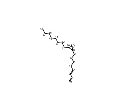 C=C/C=C/CCCCC1OC1CCCCCCCC